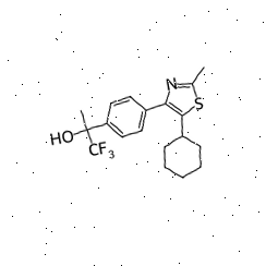 Cc1nc(-c2ccc(C(C)(O)C(F)(F)F)cc2)c(C2CCCCC2)s1